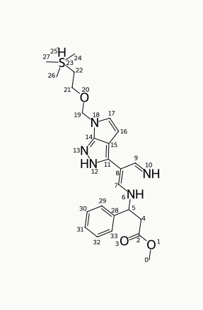 COC(=O)CC(N/C=C(\C=N)c1[nH]nc2c1ccn2COCC[SH](C)(C)(C)C)c1ccccc1